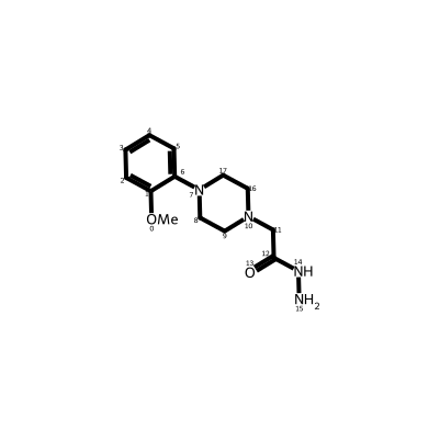 COc1ccccc1N1CCN(CC(=O)NN)CC1